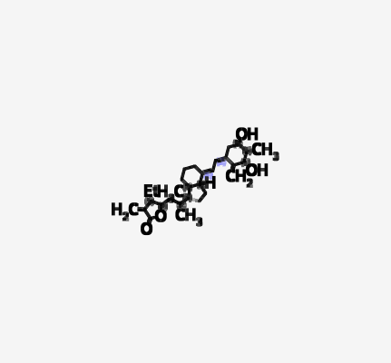 C=C1/C(=C\C=C2/CCC[C@]3(C)[C@@H]([C@H](C)C[C@H]4OC(=O)C(=C)[C@@H]4CC)CC[C@@H]23)C[C@@H](O)[C@H](C)[C@@H]1O